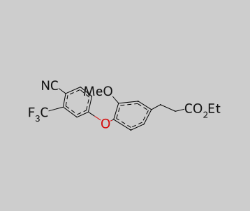 CCOC(=O)CCc1ccc(Oc2ccc(C#N)c(C(F)(F)F)c2)c(OC)c1